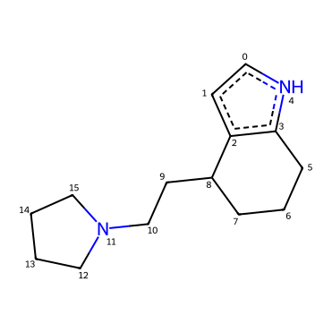 c1cc2c([nH]1)CCCC2CCN1CCCC1